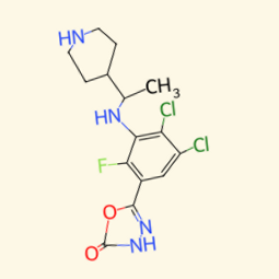 CC(Nc1c(F)c(-c2n[nH]c(=O)o2)cc(Cl)c1Cl)C1CCNCC1